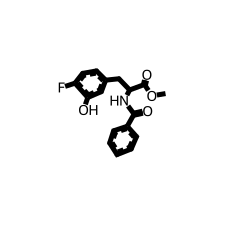 COC(=O)C(Cc1ccc(F)c(O)c1)NC(=O)c1ccccc1